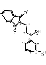 O=C1c2ccccc2C(=O)N1CCC(O)c1cccc(O)c1